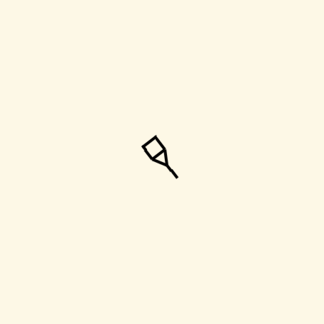 CC1C2CCC12